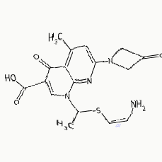 Cc1cc(N2CC(=O)C2)nc2c1c(=O)c(C(=O)O)cn2C(C)S/C=C\N